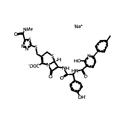 CNC(=O)c1nnc(SCC2=C(C(=O)[O-])N3C(=O)C(NC(=O)C(NC(=O)c4ccc(-c5ccc(C)cc5)nc4O)c4ccc(O)cc4)[C@@H]3SC2)s1.[Na+]